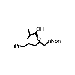 CC(C)C(=O)O.CCCCCCCCCCCCCCC(C)C